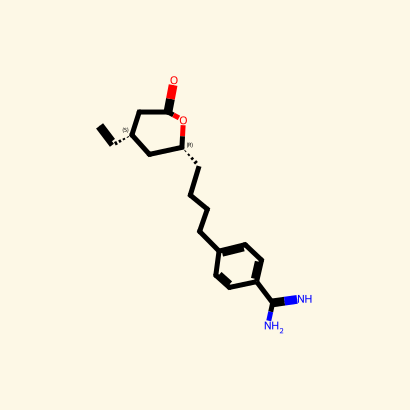 C=C[C@@H]1CC(=O)O[C@H](CCCCc2ccc(C(=N)N)cc2)C1